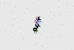 Cc1onc(NC(=O)N2CCC(=Cc3cccc(Cl)c3F)C(C)C2)c1C